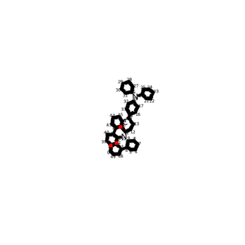 c1ccc(-c2ccccc2N(c2ccc(-c3ccc(N(c4ccccc4)c4ccccc4)cc3)cc2)c2ccccc2-c2ccccc2)cc1